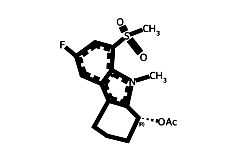 CC(=O)O[C@@H]1CCCc2c1n(C)c1c(S(C)(=O)=O)cc(F)cc21